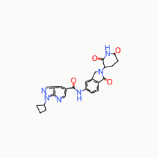 O=C1CCC(N2Cc3cc(NC(=O)c4cnc5c(cnn5C5CCC5)c4)ccc3C2=O)C(=O)N1